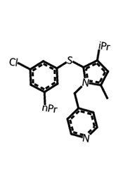 CCCc1cc(Cl)cc(Sc2c(C(C)C)cc(C)n2Cc2ccncc2)c1